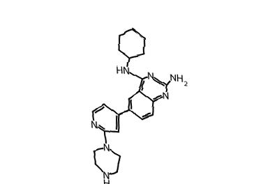 Nc1nc(NC2CCCCC2)c2cc(-c3ccnc(N4CCNCC4)c3)ccc2n1